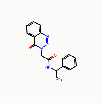 CC(NC(=O)Cn1nnc2ccccc2c1=O)c1ccccc1